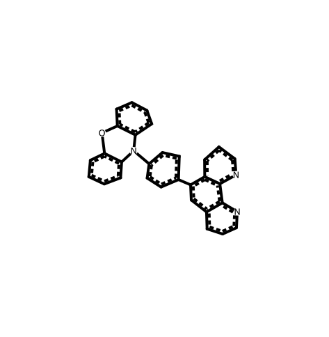 c1ccc2c(c1)Oc1ccccc1N2c1ccc(-c2cc3cccnc3c3ncccc23)cc1